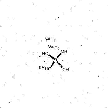 O[Si](O)(O)O.[CaH2].[KH].[MgH2]